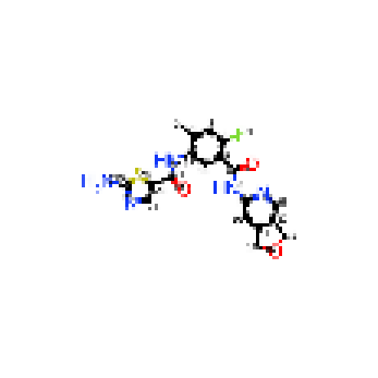 Cc1cc(F)c(C(=O)Nc2cc3c(cn2)COC3)cc1NC(=O)c1cnc(N)s1